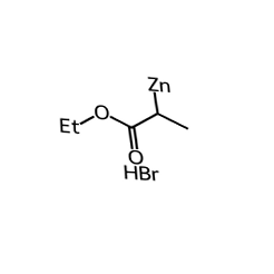 Br.CCOC(=O)[CH](C)[Zn]